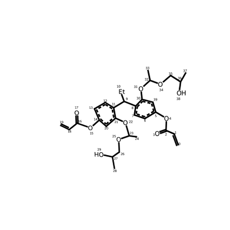 C=CC(=O)Oc1ccc(C(CC)c2ccc(OC(=O)C=C)cc2OC(C)OCC(C)O)c(OC(C)OCC(C)O)c1